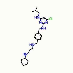 CC(C)CNc1cc(Cl)nc(NCc2ccc(CNCCCNC3CCCCC3)cc2)n1